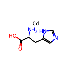 N[C@@H](Cc1cnc[nH]1)C(=O)O.[Cd]